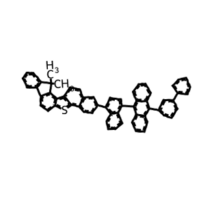 CC1(C)c2ccccc2-c2ccc3sc4c5ccc(-c6ccc(-c7c8ccccc8c(-c8cccc(-c9ccccc9)c8)c8ccccc78)c7ccccc67)cc5ccc4c3c21